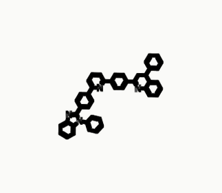 c1ccc(C2CC(c3ccc(-c4cccc(-c5ccc(-c6nc7ccccc7n6-c6ccccc6)cc5)n4)cc3)=Nc3ccccc32)cc1